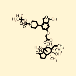 C=C[C@]1(C)C[C@@H](OC(=O)COc2cc3c(c(C4CCN(C(=O)OC(C)(C)C)CC4)c2)COB3O)[C@]2(C)[C@H](C)CC[C@]3(CCC(=O)[C@H]32)[C@@H](C)[C@@H]1O